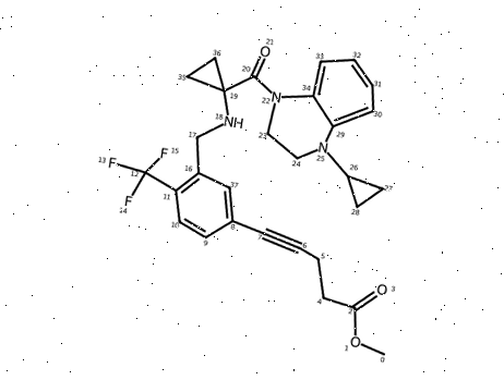 COC(=O)CCC#Cc1ccc(C(F)(F)F)c(CNC2(C(=O)N3CCN(C4CC4)c4ccccc43)CC2)c1